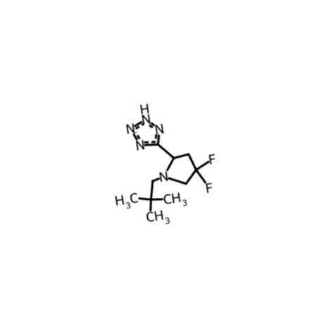 CC(C)(C)CN1CC(F)(F)CC1c1nn[nH]n1